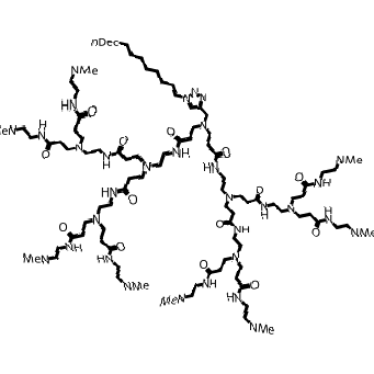 CCCCCCCCCCCCCCCCCCn1cc(CN(CCC(=O)NCCN(CCC(=O)NCCN(CCC(=O)NCCNC)CCC(=O)NCCNC)CCC(=O)NCCN(CCC(=O)NCCNC)CCC(=O)NCCNC)CCC(=O)NCCN(CCC(=O)NCCN(CCC(=O)NCCNC)CCC(=O)NCCNC)CCC(=O)NCCN(CCC(=O)NCCNC)CCC(=O)NCCNC)nn1